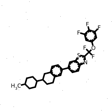 CC1CCC(C2CCc3cc(-c4ccc5nc(C(F)(F)Oc6cc(F)c(F)c(F)c6)sc5c4)ccc3C2)CC1